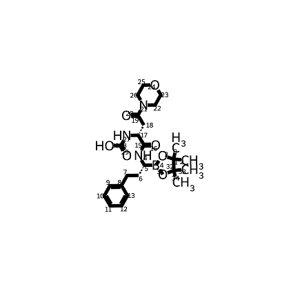 CC1(C)OB([C@H](CCc2ccccc2)NC(=O)[C@@H](CC(=O)N2CCOCC2)NC(=O)O)OC1(C)C